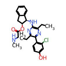 CCc1nc(-c2ccc(O)cc2Cl)c(CC)nc1N[C@@H]1c2ccccc2C[C@@H]1OC(=O)CNC